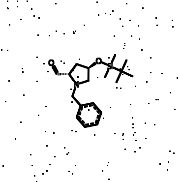 CC(C)(C)[Si](C)(C)O[C@@H]1C[C@@H](C=O)N(Cc2ccccc2)C1